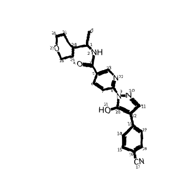 CC(NC(=O)c1ccc(-n2ncc(-c3ccc(C#N)cc3)c2O)nc1)C1CCOCC1